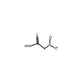 CCCN(CC)CC(=O)NC